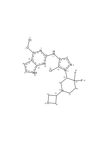 CCOc1nc(Nc2cnn(C3CN(C4COC4)CCC3(F)F)c2Cl)nc2[nH]ccc12